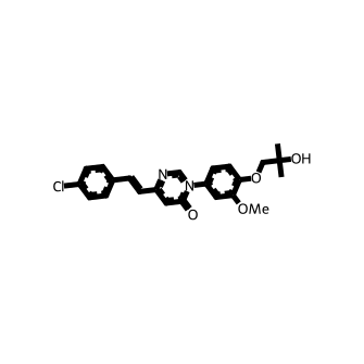 COc1cc(-n2cnc(C=Cc3ccc(Cl)cc3)cc2=O)ccc1OCC(C)(C)O